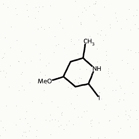 COC1CC(C)NC(I)C1